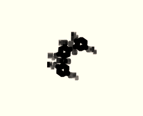 Cc1ccc(C)c(S(=O)(=O)c2cc(S(=O)(=O)c3cc(C)ccc3C)c(O)cc2C)c1